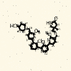 COc1nc(-c2cccc(-c3nccc(-c4ccc(CN5CC6(CNC(=O)C6)C5)c(OC)n4)c3Cl)c2Cl)ccc1CN1CCC(O)CC1